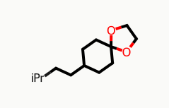 CC(C)CCC1CCC2(CC1)OCCO2